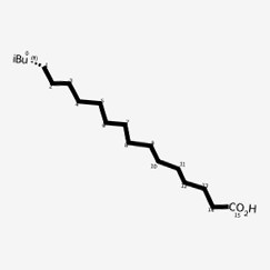 CC[C@@H](C)CCCCCCCCCCCCCCC(=O)O